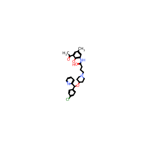 CC(=O)c1cc(C)cc(NC(=O)CCCN2CCC(OC(c3ccc(Cl)cc3)c3ccccn3)CC2)c1O